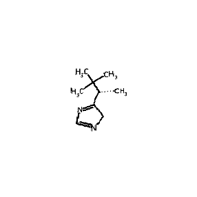 C[C@H](C1=NC=NC1)C(C)(C)C